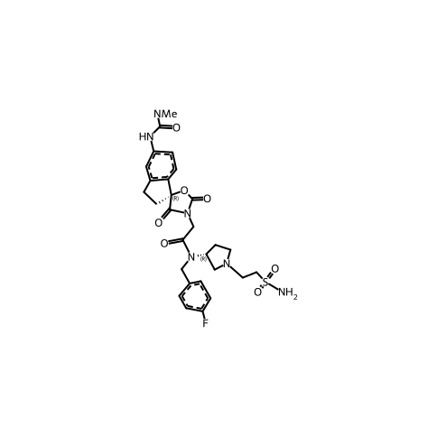 CNC(=O)Nc1ccc2c(c1)CC[C@@]21OC(=O)N(CC(=O)N(Cc2ccc(F)cc2)[C@@H]2CCN(CCS(N)(=O)=O)C2)C1=O